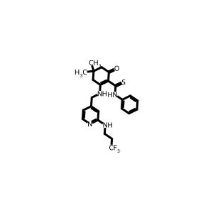 CC1(C)CC(=O)C(C(=S)Nc2ccccc2)=C(NCc2ccnc(NCCC(F)(F)F)c2)C1